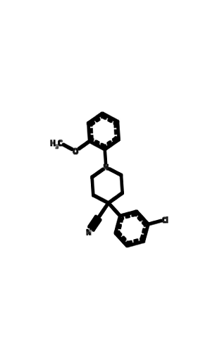 COc1ccccc1N1CCC(C#N)(c2cccc(Cl)c2)CC1